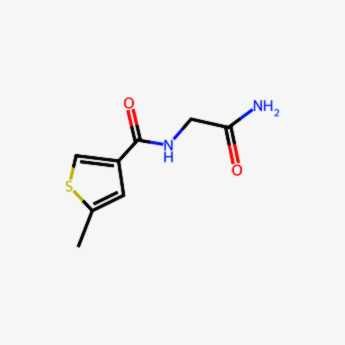 Cc1cc(C(=O)NCC(N)=O)cs1